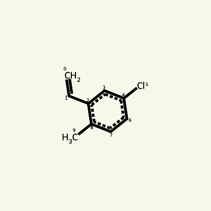 C=[C]c1cc(Cl)ccc1C